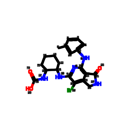 Cc1cccc(Nc2nc(NC3CCCCC3NC(=O)O)c(Br)c3c2C(=O)NC3)c1